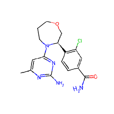 Cc1cc(N2CCCOC[C@H]2c2ccc(C(N)=O)cc2Cl)nc(N)n1